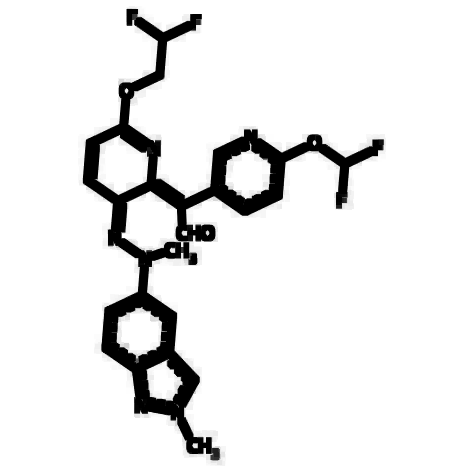 CN(/N=C1/C=CC(OCC(F)F)=N/C1=C(/C=O)c1ccc(OC(F)F)nc1)c1ccc2nn(C)cc2c1